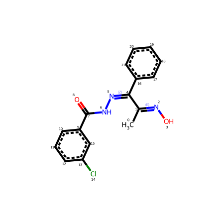 CC(=N\O)/C(=N\NC(=O)c1cccc(Cl)c1)c1ccccc1